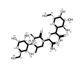 CC(CN(C(=O)[C@H](C)N)[C@H](CC(C(=O)O)C1O[C@H](CO)[C@@H](O)[C@H](O)[C@H]1N)C(N)=O)O[C@@H]1[C@@H](N)[C@@H](O)O[C@H](CO)[C@H]1O